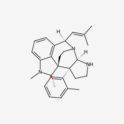 CC(C)=C[C@@H]1c2cccc3c2[C@@]2(CCN1[C@H]1NCC[C@]12c1ccccc1C)[C@H](C)N3C